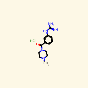 CN1CCN(C(=O)c2cccc(NC(=N)N)c2)CC1.Cl